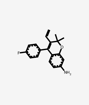 C=CC1=C(c2ccc(F)cc2)c2ccc(N)cc2OC1(C)C